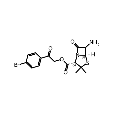 CC1(C)S[C@@H]2C(N)C(=O)N2[C@H]1C(=O)OCC(=O)c1ccc(Br)cc1